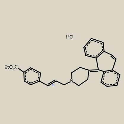 CCOC(=O)c1ccc(/C=C/CN2CCC(=C3c4ccccc4C=Cc4ccccc43)CC2)cc1.Cl